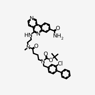 CN(CCNc1nc2cc(C(N)=O)ccc2c2cnccc12)C(=O)CCCN(Cc1ccc(-c2ccccc2)c(Cl)c1)C(=O)OC(C)(C)C